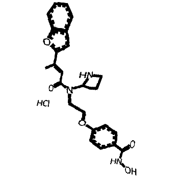 CC(=CC(=O)N(CCOc1ccc(C(=O)NO)cc1)C1CCN1)c1cc2ccccc2o1.Cl